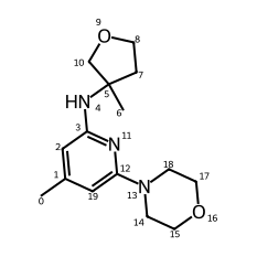 Cc1cc(NC2(C)CCOC2)nc(N2CCOCC2)c1